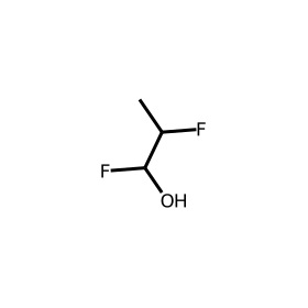 CC(F)C(O)F